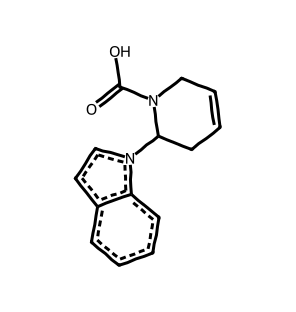 O=C(O)N1CC=CCC1n1ccc2ccccc21